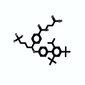 CC(C)c1cc(C(C)(C)C)cc(C(C)(C)C)c1-c1ccc(OC(CCCC(F)(F)F)c2ccc(C(=O)NCCC(=O)O)cc2)cc1